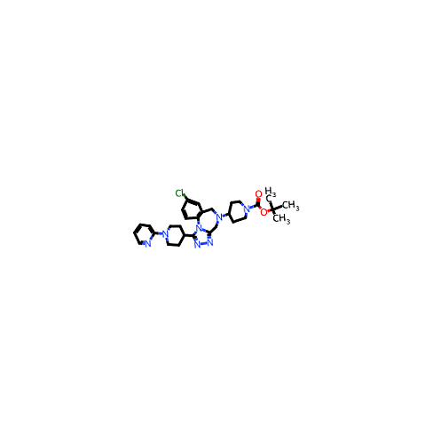 CC(C)(C)OC(=O)N1CCC(N2Cc3cc(Cl)ccc3-n3c(nnc3C3CCN(c4ccccn4)CC3)C2)CC1